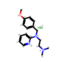 Br.COc1ccc(CN(CCN(C)C)c2ccccn2)cc1